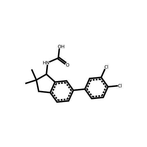 CC1(C)Cc2ccc(-c3ccc(Cl)c(Cl)c3)cc2C1NC(=O)O